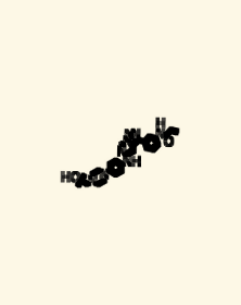 C=CC(=O)Nc1cccc(-c2nnn3cnc(Nc4ccc(N5CCN(CC(C)(C)O)CC5)cc4)cc23)c1